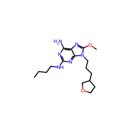 CCCCNc1nc(N)c2nc(OC)n(CCCC3CCOC3)c2n1